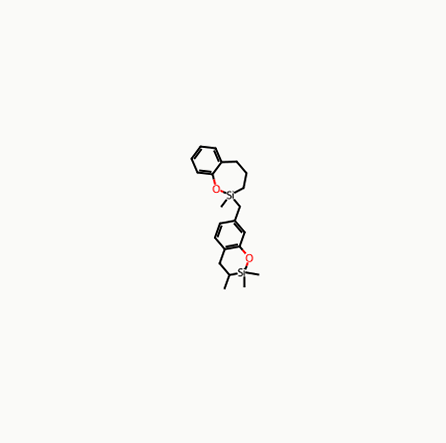 CC1Cc2ccc(C[Si]3(C)CCCc4ccccc4O3)cc2O[Si]1(C)C